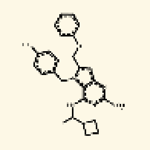 CC(Nc1nc(C(=O)O)nc2nc(COc3ccccc3)n(Cc3ccc(C(F)(F)F)cc3)c12)C1CCC1